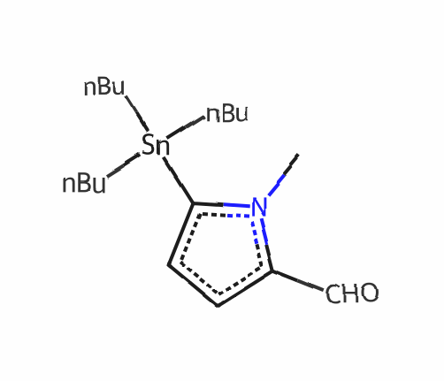 CCC[CH2][Sn]([CH2]CCC)([CH2]CCC)[c]1ccc(C=O)n1C